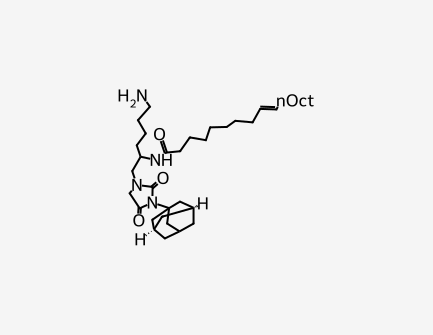 CCCCCCCC/C=C/CCCCCCCC(=O)NC(CCCCN)CN1CC(=O)N(C23CC4C[C@H](C2)C[C@@H](C4)C3)C1=O